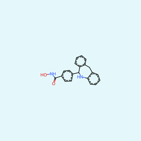 O=C(NO)c1ccc(C2Nc3ccccc3Cc3ccccc32)cc1